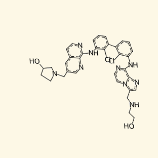 OCCNCc1cnc2c(Nc3cccc(-c4cccc(Nc5nccc6cc(CN7CCC(O)C7)cnc56)c4Cl)c3Cl)nccn12